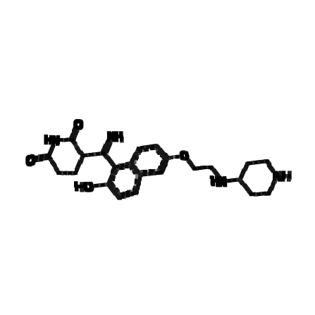 N=C(c1c(O)ccc2cc(OCCNC3CCNCC3)ccc12)C1CCC(=O)NC1=O